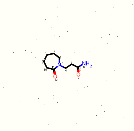 NC(=O)CCN1CCCCCC1=O